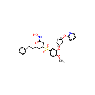 COc1ccc(S(=O)(=O)C(CCCCc2ccccc2)CC(=O)NO)cc1O[C@H]1CC[C@@H](Oc2ccccn2)C1